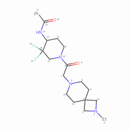 CCN1CC2(CCN(CC(=O)N3CCC(NC(=O)C(C)C)C(F)(F)C3)CC2)C1